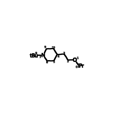 CC(C)OCCC1CCN(C(C)(C)C)CC1